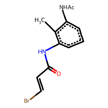 CC(=O)Nc1cccc(NC(=O)/C=C/Br)c1C